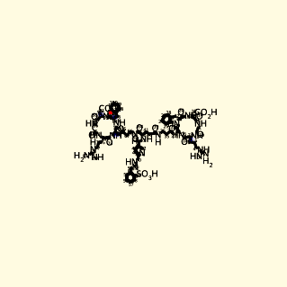 N=C(N)NCC/C=C1\NC(=O)CNC(=O)[C@@H](CC(=O)O)NC(=O)[C@@H](Cc2ccccc2)NC(=O)[C@@H](CCCCNC(=O)CCC(NC(=O)c2ccc(CNN=Cc3ccccc3S(=O)(=O)O)nc2)C(=O)NCCC/C=C2/NC(=O)[C@H](CCCNC(=N)N)NC(=O)CNC(=O)/C(=C/C(=O)O)NC(=O)/C(=C\c3ccccc3)NC2=O)NC1=O